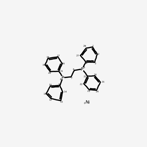 [Ni].c1ccc(P(CCP(c2ccccc2)c2ccccc2)c2ccccc2)cc1